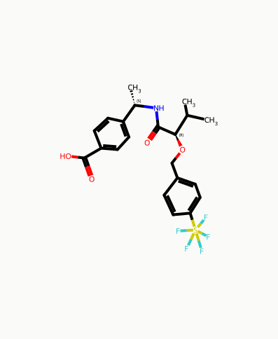 CC(C)[C@@H](OCc1ccc(S(F)(F)(F)(F)F)cc1)C(=O)N[C@@H](C)c1ccc(C(=O)O)cc1